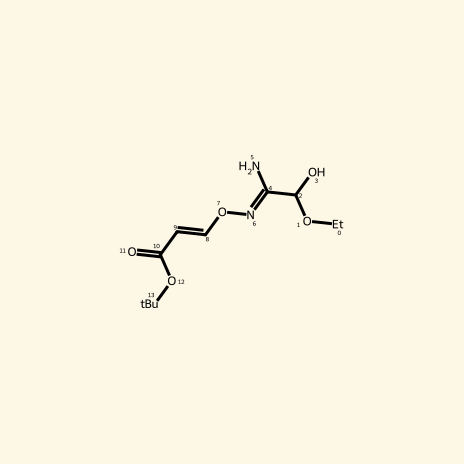 CCOC(O)C(N)=NOC=CC(=O)OC(C)(C)C